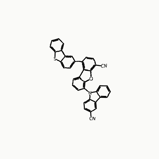 N#Cc1ccc2c(c1)c1ccccc1n2-c1cccc2c1oc1c(C#N)ccc(-c3ccc4sc5ccccc5c4c3)c12